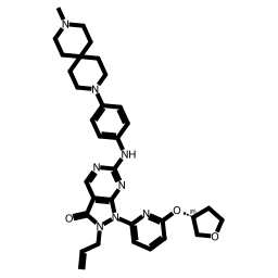 C=CCn1c(=O)c2cnc(Nc3ccc(N4CCC5(CCN(C)CC5)CC4)cc3)nc2n1-c1cccc(O[C@@H]2CCOC2)n1